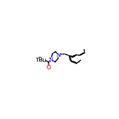 C\C=C/C=C(\C=C/C)CN1CCN(C(=O)C(C)(C)C)CC1